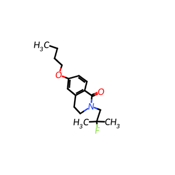 CCCCOc1ccc2c(c1)CCN(CC(C)(C)F)C2=O